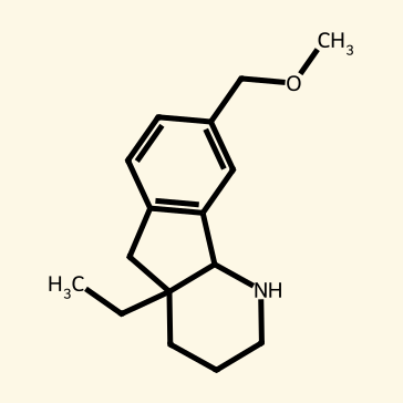 CCC12CCCNC1c1cc(COC)ccc1C2